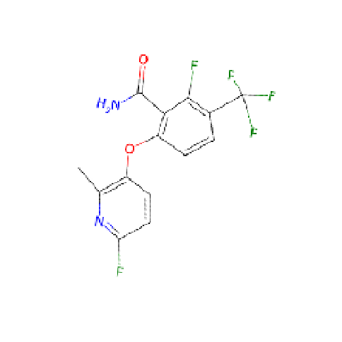 Cc1nc(F)ccc1Oc1ccc(C(F)(F)F)c(F)c1C(N)=O